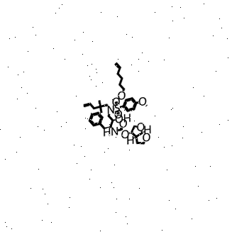 C=CCCCCOc1cc(OC)ccc1S(=O)(=O)N(C[C@@H](O)[C@H](Cc1ccccc1)NC(=O)O[C@H]1CO[C@H]2OCC[C@H]21)CC(C)(C)CC=C